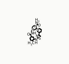 Cc1ccc(C(=O)NCN2CCN(C(N)=O)CC2)cc1Nc1nc(-c2cccnc2)cs1